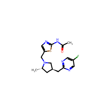 CC(=O)Nc1ncc(CN2C[C@@H](Cc3ncc(F)cn3)C[C@@H]2C)s1